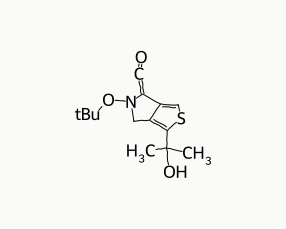 CC(C)(C)ON1Cc2c(csc2C(C)(C)O)C1=C=O